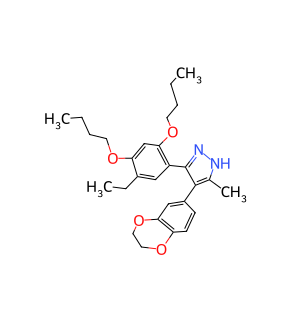 CCCCOc1cc(OCCCC)c(-c2n[nH]c(C)c2-c2ccc3c(c2)OCCO3)cc1CC